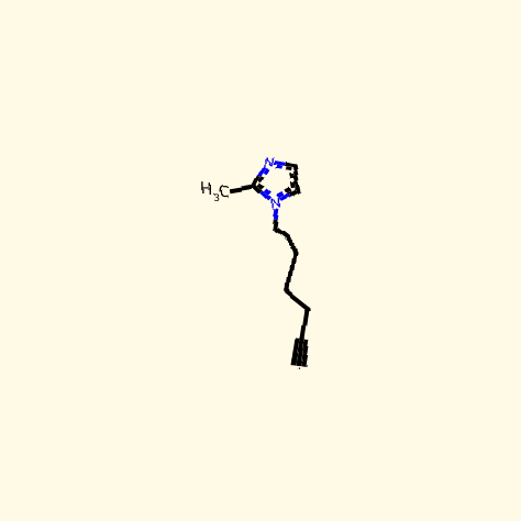 [C]#CCCCCn1ccnc1C